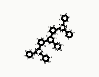 c1ccc(-c2nc(-c3ccccc3)nc(-c3cccc(-c4cc(-c5cccc(-c6nc(-c7ccccc7)nc(-c7ccccc7)n6)c5)cc(-c5cnccn5)c4)c3)n2)cc1